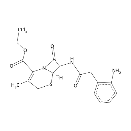 CC1=C(C(=O)OCC(Cl)(Cl)Cl)N2C(=O)C(NC(=O)Cc3ccccc3N)[C@H]2SC1